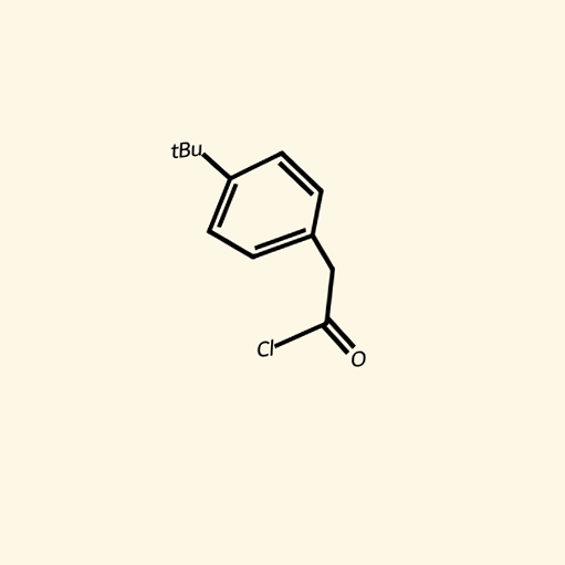 CC(C)(C)c1ccc(CC(=O)Cl)cc1